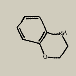 [c]1cccc2c1OCCN2